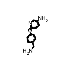 NCc1ccc(Oc2ccc(N)cn2)cc1